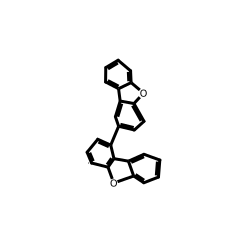 [c]1ccc(-c2ccc3oc4ccccc4c3c2)c2c1oc1ccccc12